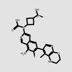 Cc1c(-c2cc3cc(N(C(=O)O)C4CC([C@H](C)O)C4)ncc3c(N)c2F)cnc2c1NCCO2